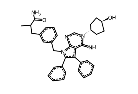 CC(Cc1cccc(Cn2c(-c3ccccc3)c(-c3ccccc3)c3c(=N)n([C@H]4CC[C@H](O)CC4)cnc32)c1)C(N)=O